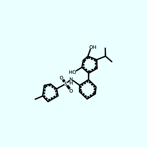 Cc1ccc(S(=O)(=O)Nc2ccccc2-c2cc(C(C)C)c(O)cc2O)cc1